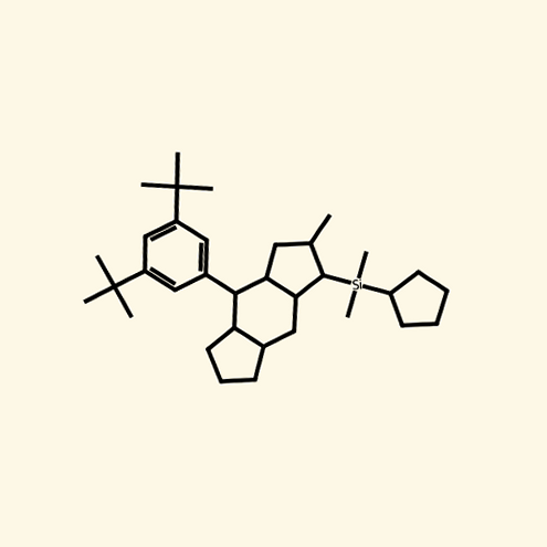 CC1CC2C(CC3CCCC3C2c2cc(C(C)(C)C)cc(C(C)(C)C)c2)C1[Si](C)(C)C1CCCC1